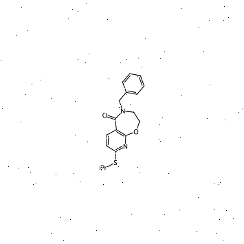 CC(C)Sc1ccc2c(n1)OCCN(Cc1ccccc1)C2=O